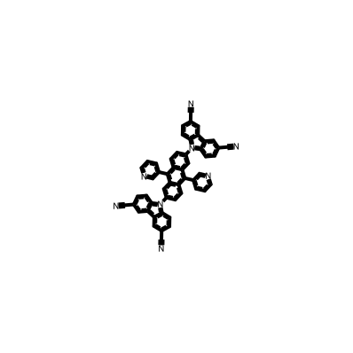 N#Cc1ccc2c(c1)c1cc(C#N)ccc1n2-c1ccc2c(-c3cccnc3)c3cc(-n4c5ccc(C#N)cc5c5cc(C#N)ccc54)ccc3c(-c3cccnc3)c2c1